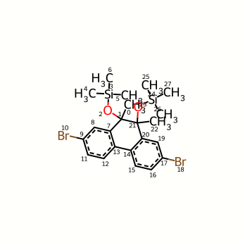 CC1(O[Si](C)(C)C)c2cc(Br)ccc2-c2ccc(Br)cc2C1(C)O[Si](C)(C)C